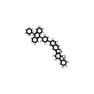 c1ccc(-c2c3ccccc3c(-c3ccc(-c4ccc5cc6sc7c(ccc8c9ccccc9oc87)c6cc5c4)cc3)c3ccccc23)cc1